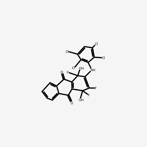 O=C1C2=C(C(=O)c3ccccc31)C(O)(F)C(Nc1c(Cl)c(Cl)cc(Cl)c1Cl)=C(F)C2(O)F